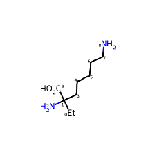 CCC(N)(CCCCCN)C(=O)O